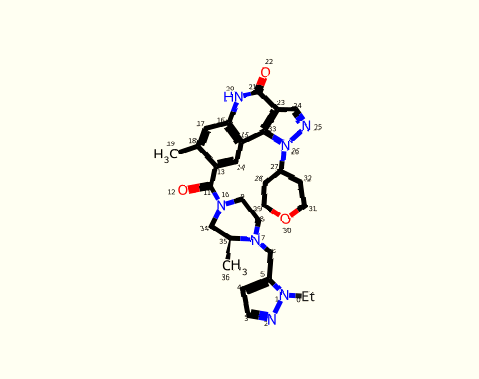 CCn1nccc1CN1CCN(C(=O)c2cc3c(cc2C)[nH]c(=O)c2cnn(C4CCOCC4)c23)C[C@@H]1C